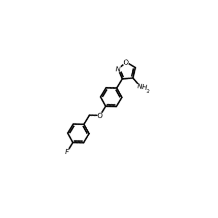 Nc1conc1-c1ccc(OCc2ccc(F)cc2)cc1